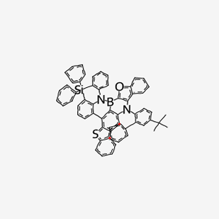 CC(C)(C)c1ccc(N2c3cc4c(sc5ccccc54)c4c3B(c3oc5ccccc5c32)N2c3ccccc3[Si](c3ccccc3)(c3ccccc3)c3cccc-4c32)c(-c2ccccc2)c1